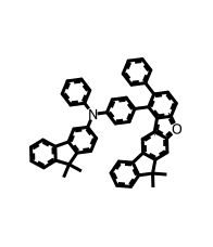 CC1(C)c2ccccc2-c2cc(N(c3ccccc3)c3ccc(-c4c(-c5ccccc5)ccc5oc6cc7c(cc6c45)-c4ccccc4C7(C)C)cc3)ccc21